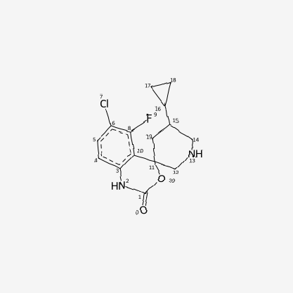 O=C1Nc2ccc(Cl)c(F)c2C2(CNCC(C3CC3)C2)O1